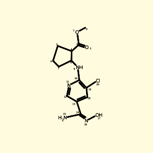 COC(=O)C1CCCC1Nc1ncc(/C(N)=N\O)cc1Cl